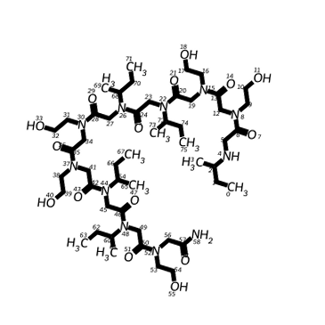 CCC(C)NCC(=O)N(CCO)CC(=O)N(CCO)CC(=O)N(CC(=O)N(CC(=O)N(CCO)CC(=O)N(CCO)CC(=O)N(CC(=O)N(CC(=O)N(CCO)CC(N)=O)C(C)CC)C(C)CC)C(C)CC)C(C)CC